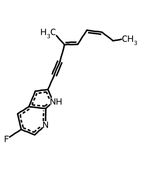 CC/C=C\C=C(/C)C#Cc1cc2cc(F)cnc2[nH]1